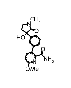 COc1ccc(-c2cccc(C3(O)CCN(C)C3=O)c2)c(C(N)=O)n1